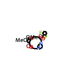 COc1cc2cc(c1OC)OCCCC(OC(=O)c1c(F)cccc1F)CCN1CCCN(CCCOC2=O)CC1